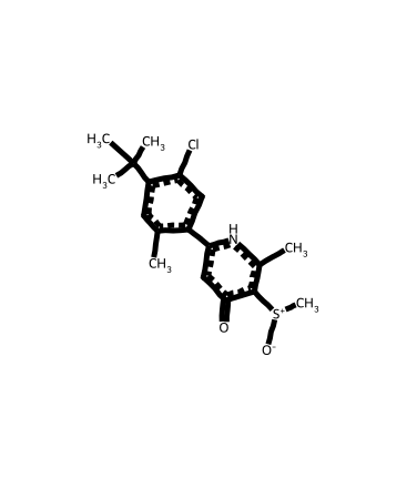 Cc1cc(C(C)(C)C)c(Cl)cc1-c1cc(=O)c([S+](C)[O-])c(C)[nH]1